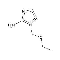 CCOCn1ccnc1N